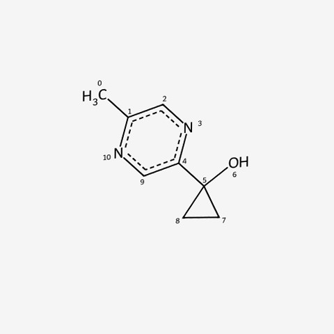 Cc1cnc(C2(O)CC2)cn1